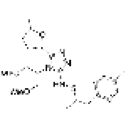 COCC(COC)n1c(NSC(C)Cc2ncc(C)cn2)nnc1C1CCC(C)O1